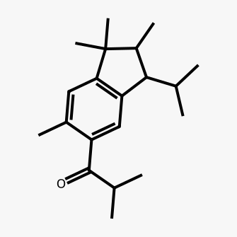 Cc1cc2c(cc1C(=O)C(C)C)C(C(C)C)C(C)C2(C)C